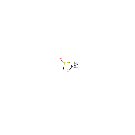 C[S+](C)[O-].O=[N+]([O-])[O-].[Na+]